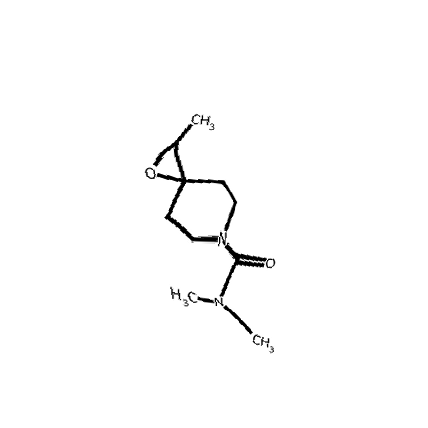 CC1OC12CCN(C(=O)N(C)C)CC2